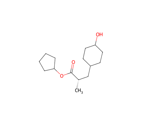 C[C@@H](CC1CCC(O)CC1)C(=O)OC1CCCC1